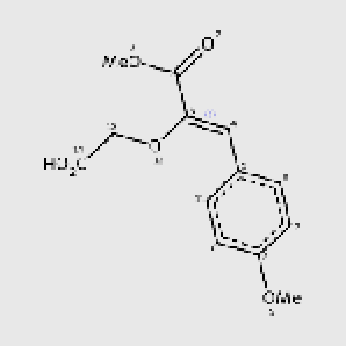 COC(=O)/C(=C/c1ccc(OC)cc1)OCC(=O)O